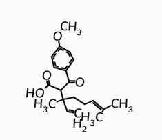 C=CC(C)(CCC=C(C)C)C(C(=O)O)C(=O)c1ccc(OC)cc1